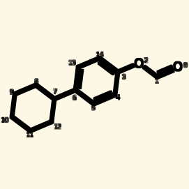 O=COc1ccc(C2CCCCC2)cc1